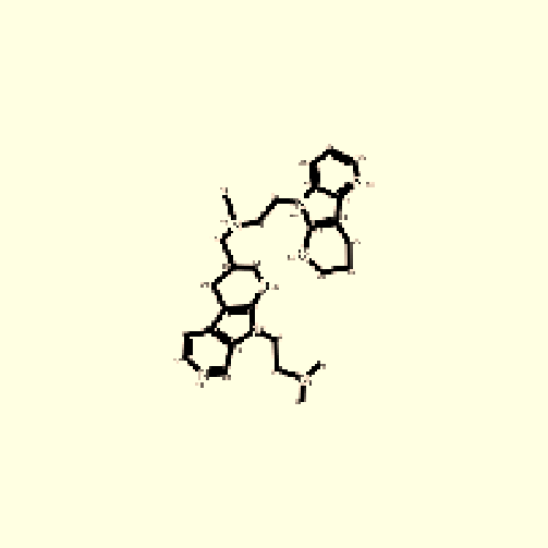 CN(C)CCn1c2c(c3ccncc31)CC(CN(C)CCn1c3c(c4ncccc41)CCCO3)CO2